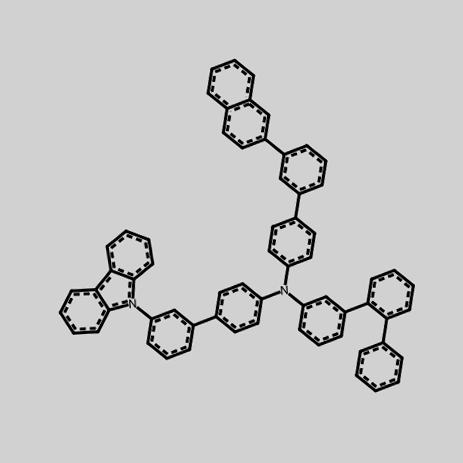 c1ccc(-c2ccccc2-c2cccc(N(c3ccc(-c4cccc(-c5ccc6ccccc6c5)c4)cc3)c3ccc(-c4cccc(-n5c6ccccc6c6ccccc65)c4)cc3)c2)cc1